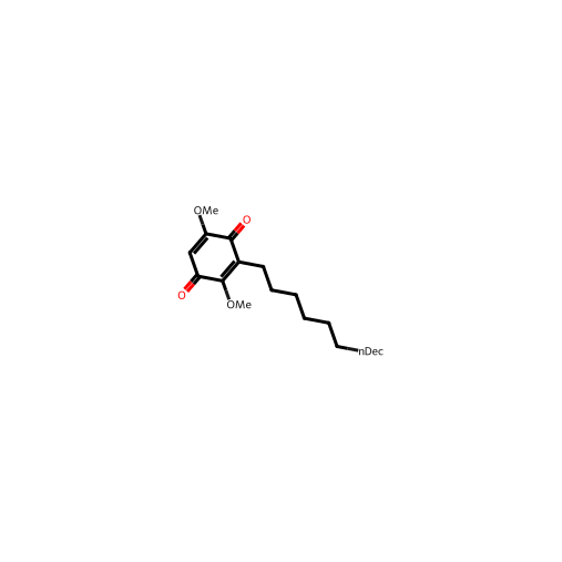 CCCCCCCCCCCCCCCCC1=C(OC)C(=O)C=C(OC)C1=O